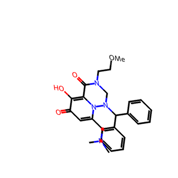 COCCN1CN(C(c2ccccc2)c2ccccc2)n2c(CN(C)C)cc(=O)c(O)c2C1=O